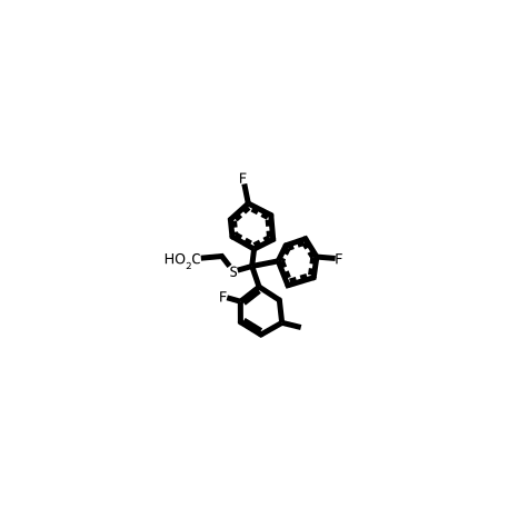 CC1C=CC(F)=C(C(SCC(=O)O)(c2ccc(F)cc2)c2ccc(F)cc2)C1